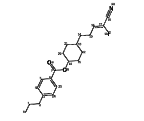 CCCc1ccc(C(=O)OC2CCC(CCC=C(F)C#N)CC2)cc1